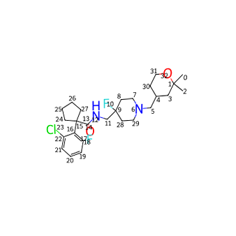 CC1(C)CC(CN2CCC(F)(CNC(=O)C3(c4c(F)cccc4Cl)CCCC3)CC2)CCO1